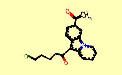 CC(=O)c1ccc2c(C(=O)CCCCCl)c3ccccn3c2c1